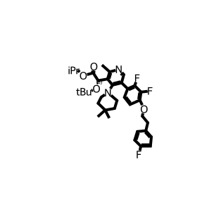 Cc1ncc(-c2ccc(OCCc3ccc(F)cc3)c(F)c2F)c(N2CCC(C)(C)CC2)c1[C@H](OC(C)(C)C)C(=O)OC(C)C